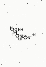 CN(C)CCCN(C)c1ccc(C(=O)Nc2cc(N(C(=O)c3ccncc3)C3CNCCO3)ccc2Cl)cn1